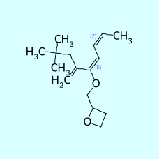 C=C(CC(C)(C)C)/C(=C\C=C/C)OCC1CCO1